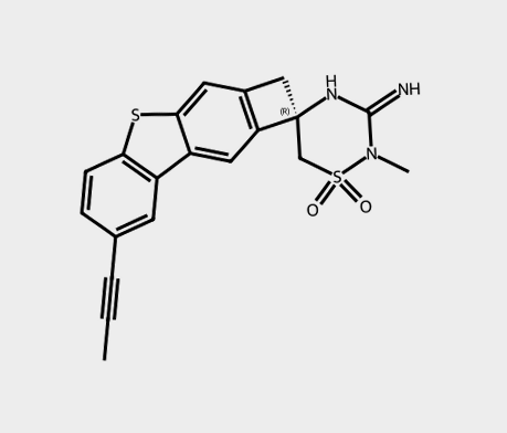 CC#Cc1ccc2sc3cc4c(cc3c2c1)[C@]1(C4)CS(=O)(=O)N(C)C(=N)N1